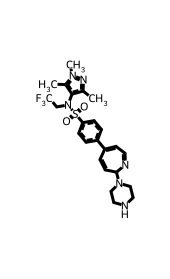 Cc1nn(C)c(C)c1N(CC(F)(F)F)S(=O)(=O)c1ccc(C2=CC=NC(N3CCNCC3)C=C2)cc1